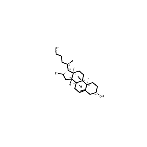 CCC1C[C@H]2[C@@H]3CC=C4C[C@@H](O)CC[C@]4(C)[C@H]3CC[C@]2(C)[C@H]1[C@H](C)CCCC(C)C